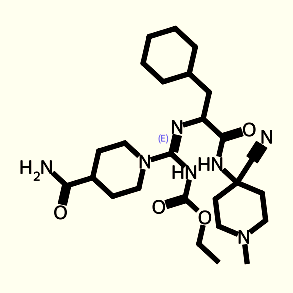 CCOC(=O)N/C(=N\C(CC1CCCCC1)C(=O)NC1(C#N)CCN(C)CC1)N1CCC(C(N)=O)CC1